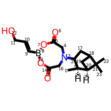 C[C@H]1C(N2CC(=O)OB(/C=C/CO)OC(=O)C2)CC2C[C@H]1C2(C)C